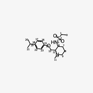 CCS(=O)(=O)NC1CCCN(C)C1COc1ccc(C(C)C)cc1